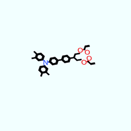 C=CC(=O)OCCC(CCOC(=O)C=C)c1ccc(-c2ccc(N(c3ccc(C)c(C)c3)c3ccc(C)c(C)c3)cc2)cc1